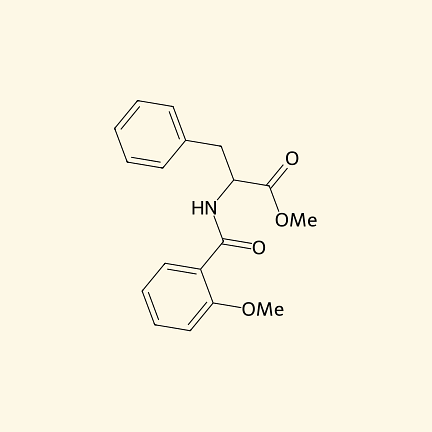 COC(=O)C(Cc1ccccc1)NC(=O)c1ccccc1OC